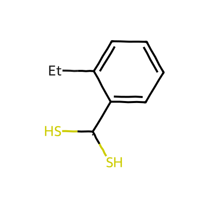 CCc1ccccc1[C](S)S